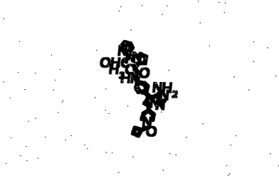 C/C(C(=O)Nc1ccc(-c2cc(C3CCN(C(=O)C4CCC4)CC3)n3ncnc(N)c23)cc1)=C1/CCCN1N(C=O)c1ccccn1